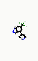 FC(F)(F)c1cc(-c2ccncc2)c2cn[nH]c2c1